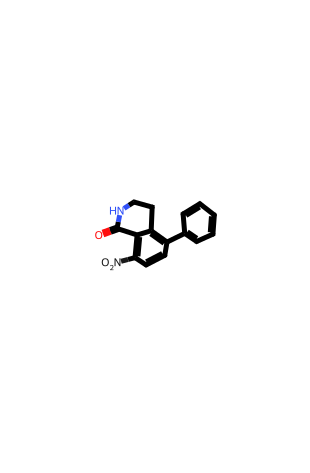 O=C1NCCc2c(-c3ccccc3)ccc([N+](=O)[O-])c21